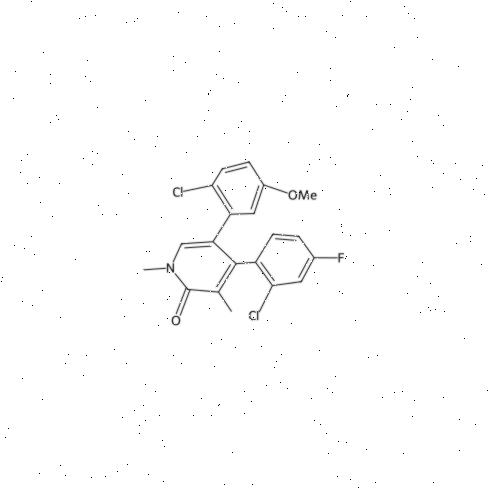 COc1ccc(Cl)c(-c2cn(C)c(=O)c(C)c2-c2ccc(F)cc2Cl)c1